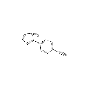 N#Cc1ccc(C2=CC=C[SeH2]2)cc1